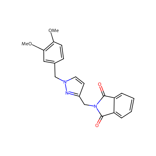 COc1ccc(Cn2ccc(CN3C(=O)c4ccccc4C3=O)n2)cc1OC